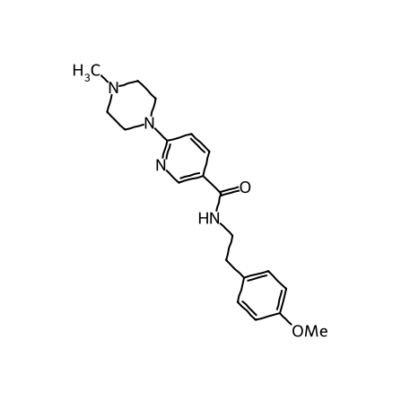 COc1ccc(CCNC(=O)c2ccc(N3CCN(C)CC3)nc2)cc1